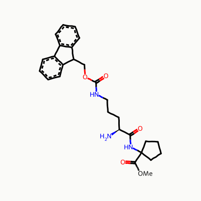 COC(=O)C1(NC(=O)[C@@H](N)CCCNC(=O)OCC2c3ccccc3-c3ccccc32)CCCC1